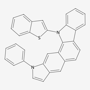 c1ccc(-n2ccc3cc4ccc5c6ccccc6n(-c6cc7ccccc7s6)c5c4cc32)cc1